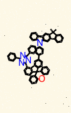 CC1(C)c2ccccc2-c2cc3c(cc21)c1ccccc1n3-c1ccc(-c2ccc3c(c2)-c2c(-c4nc(-c5ccccc5)nc(-c5ccccc5)n4)cccc2C32c3ccccc3Oc3ccccc32)cc1